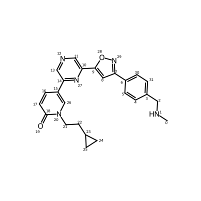 CNCc1ccc(-c2cc(-c3cncc(-c4ccc(=O)n(CCC5CC5)c4)n3)on2)cc1